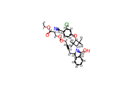 CCOC(=O)CCOOCC#CCc1c2ccccc2c(O)n1[C@H]1C(C)(C)[C@H](Oc2ccc(C#N)c(Cl)c2)C1(C)C